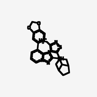 Cc1cc(N2CC3CCC(C2)C3Nc2nc3c(-c4ccc5c(c4)OCO5)cccn3n2)sn1